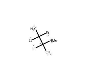 CCC(C)(CC)C(C)(CC)NC